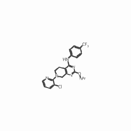 CCCOc1nc2c(c(Nc3ccc(C(F)(F)F)cc3)n1)CCN(c1ncccc1Cl)C2